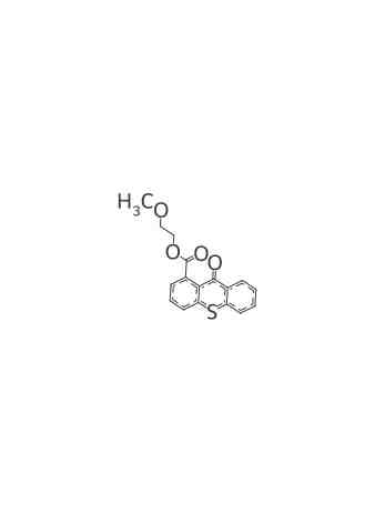 COCCOC(=O)c1cccc2sc3ccccc3c(=O)c12